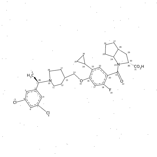 C[C@H](c1cc(Cl)cc(Cl)c1)N1CCC(COc2cc(F)c(C(=O)N3C4CCCC4C[C@@H]3C(=O)O)cc2C2CC2)CC1